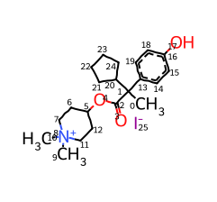 CC(C(=O)OC1CC[N+](C)(C)CC1)(c1ccc(O)cc1)C1CCCC1.[I-]